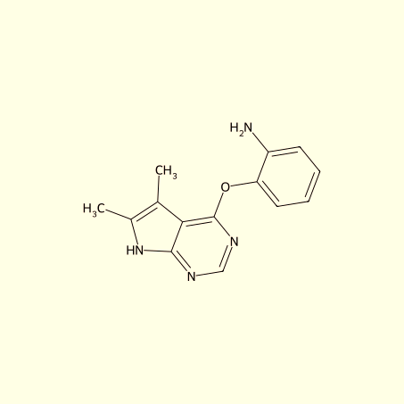 Cc1[nH]c2ncnc(Oc3ccccc3N)c2c1C